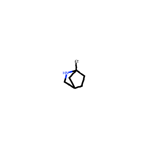 CCC12CCC(CN1)C2